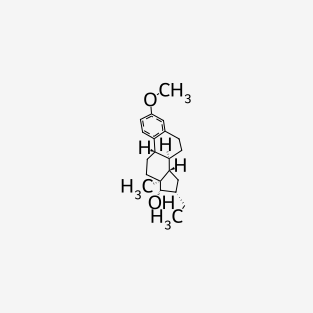 CC[C@H]1C[C@H]2[C@@H]3CCc4cc(OC)ccc4[C@H]3CC[C@]2(C)[C@H]1O